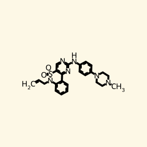 C=CCN1c2ccccc2-c2nc(Nc3ccc(N4CCN(C)CC4)cc3)ncc2S1(=O)=O